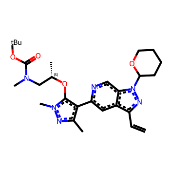 C=Cc1nn(C2CCCCO2)c2cnc(-c3c(C)nn(C)c3O[C@@H](C)CN(C)C(=O)OC(C)(C)C)cc12